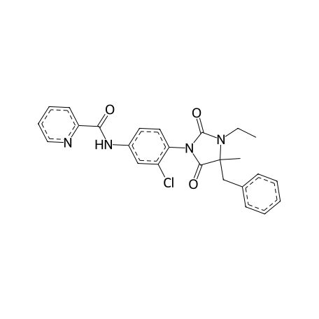 CCN1C(=O)N(c2ccc(NC(=O)c3ccccn3)cc2Cl)C(=O)C1(C)Cc1ccccc1